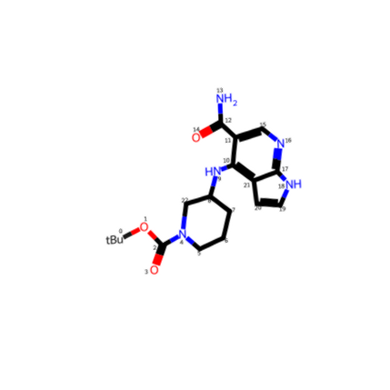 CC(C)(C)OC(=O)N1CCCC(Nc2c(C(N)=O)cnc3[nH]ccc23)C1